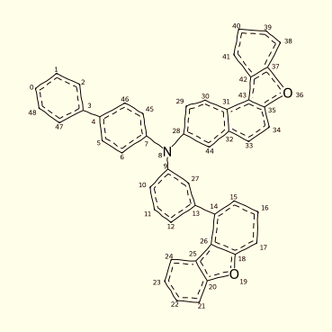 c1ccc(-c2ccc(N(c3cccc(-c4cccc5oc6ccccc6c45)c3)c3ccc4c(ccc5oc6ccccc6c54)c3)cc2)cc1